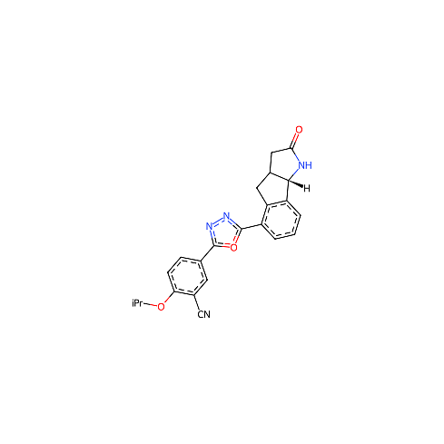 CC(C)Oc1ccc(-c2nnc(-c3cccc4c3CC3CC(=O)N[C@H]43)o2)cc1C#N